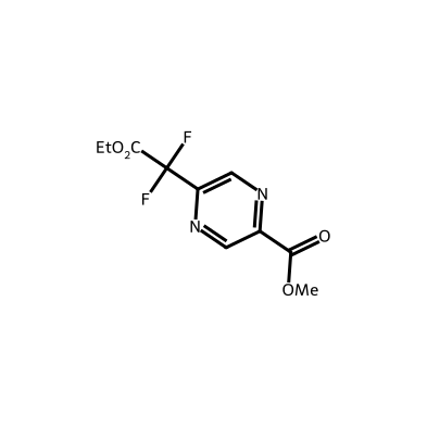 CCOC(=O)C(F)(F)c1cnc(C(=O)OC)cn1